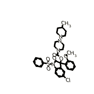 COc1ccccc1C1(OC(=O)N2CCN(N3CCC(C)CC3)CC2)C(=O)N(S(=O)(=O)c2ccccc2)c2ccc(Cl)cc21